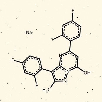 Cc1nn2c(O)cc(-c3ccc(F)cc3F)nc2c1-c1ccc(F)cc1F.[Na]